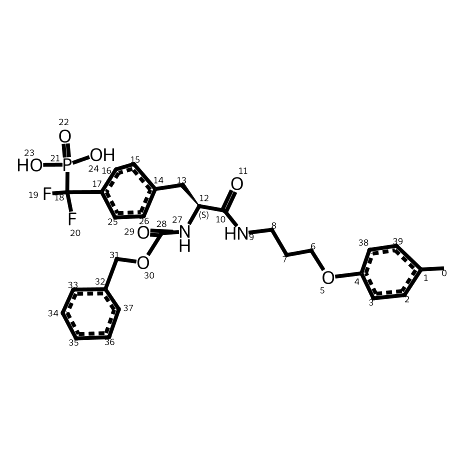 Cc1ccc(OCCCNC(=O)[C@H](Cc2ccc(C(F)(F)P(=O)(O)O)cc2)NC(=O)OCc2ccccc2)cc1